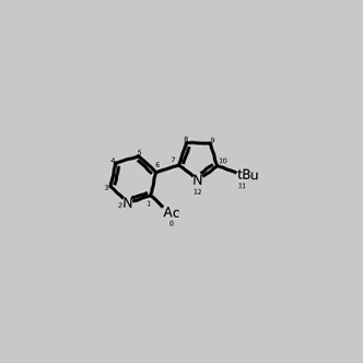 CC(=O)c1ncccc1C1=CCC(C(C)(C)C)=N1